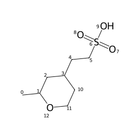 CC1CC(CCS(=O)(=O)O)CCO1